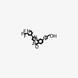 Cn1c(=O)c2ccc(N3CC(CO)C3)cc2n2nc(-c3ccnc(C(F)(F)F)c3)cc12